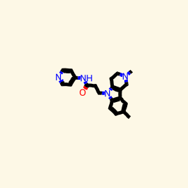 Cc1ccc2c(c1)c1c(n2CCC(=O)Nc2ccncc2)CCN(C)C1